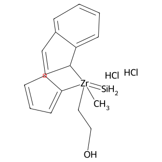 Cl.Cl.[CH3][Zr](=[SiH2])([CH2]CO)([C]1=CC=CC1)[CH]1C=Cc2ccccc21